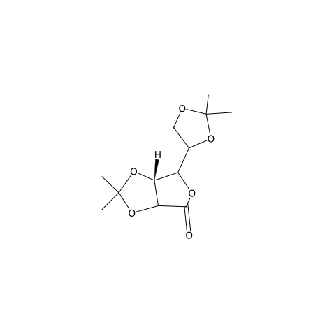 CC1(C)OCC(C2OC(=O)C3OC(C)(C)O[C@@H]32)O1